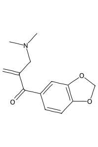 C=C(CN(C)C)C(=O)c1ccc2c(c1)OCO2